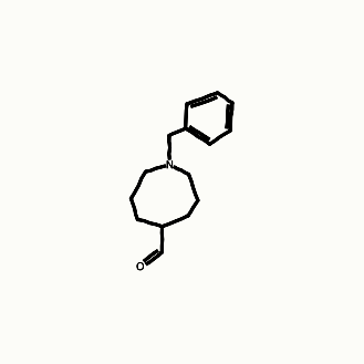 O=CC1CCCN(Cc2ccccc2)CCC1